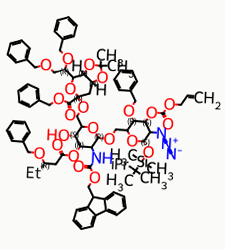 C=CCOC(=O)O[C@H]1C(N=[N+]=[N-])[C@H](O[Si](C)(C)C(C)(C)C(C)C)OC(CO[C@@H]2OC(CO[C@]3(C(=O)OCc4ccccc4)C[C@H]4OC(C)(C)O[C@H]4C([C@@H](COCc4ccccc4)OCc4ccccc4)O3)[C@@H](O)[C@H](OC(=O)C[C@@H](CC)OCc3ccccc3)C2NC(=O)OCC2c3ccccc3-c3ccccc32)[C@@H]1OCc1ccccc1